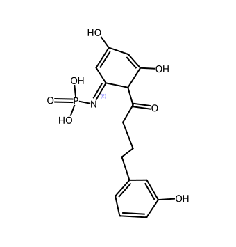 O=C(CCCc1cccc(O)c1)C1C(O)=CC(O)=C/C1=N\P(=O)(O)O